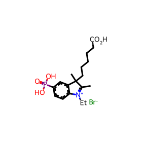 CC[N+]1=C(C)C(C)(CCCCCC(=O)O)c2cc(P(=O)(O)O)ccc21.[Br-]